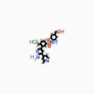 Cc1cc(-c2cc(-c3cc(S(=O)(=O)NC4CCC(CO)CC4)ccc3C)cnc2N)ccn1.Cl